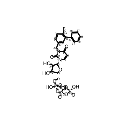 O=c1ccn([C@@H]2O[C@H](COP(=O)(O)OP(=O)(O)OP(=O)(O)O)C(O)C2O)c(=O)n1Cc1cc(-c2ccccc2)c(F)cn1